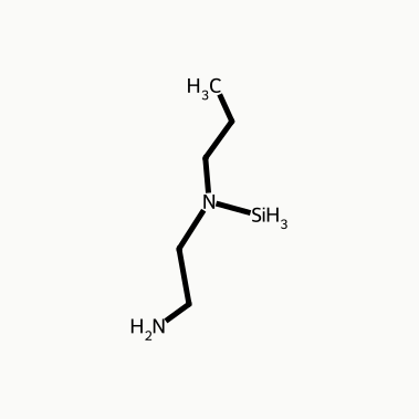 CCCN([SiH3])CCN